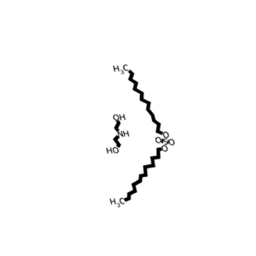 CCCCCCCCCCCCCOS(=O)(=O)OCCCCCCCCCCCCC.OCCNCCO